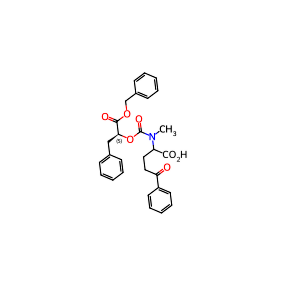 CN(C(=O)O[C@@H](Cc1ccccc1)C(=O)OCc1ccccc1)C(CCC(=O)c1ccccc1)C(=O)O